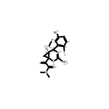 C=C(C(=O)N(C)C)C12C[C@H]1[C@@](CF)(c1cc(Br)ccc1F)N=C(N)S2